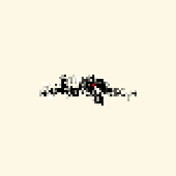 Cc1ccc(N=Nc2c(N)c(/N=N\c3ccc(S(=O)(=O)CCOS(=O)(=O)O)cc3)c(N)c(N=Nc3ccc(SOCC(N)(COO)C(=C=O)COO)cc3)c2C(=O)O)cc1